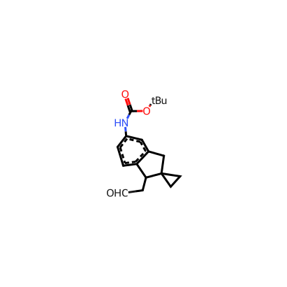 CC(C)(C)OC(=O)Nc1ccc2c(c1)CC1(CC1)C2CC=O